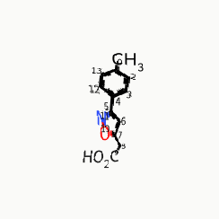 Cc1ccc(-c2cc(CC(=O)O)on2)cc1